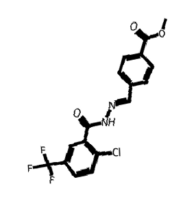 COC(=O)c1ccc(C=NNC(=O)c2cc(C(F)(F)F)ccc2Cl)cc1